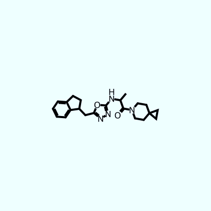 CC(Nc1nnc(CC2CCc3ccccc32)o1)C(=O)N1CCC2(CC1)CC2